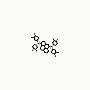 Cc1ccc(N(c2ccc(C)c(C)c2)c2cc3ccc(N(c4ccc(C)c(C)c4)c4ccc(C)c(C)c4)c4ccc5cccc2c5c34)cc1C